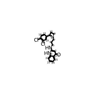 O=c1cc(NCCCN2CCC2c2ccc(Cl)c(Cl)c2)[nH]c2ccccc12